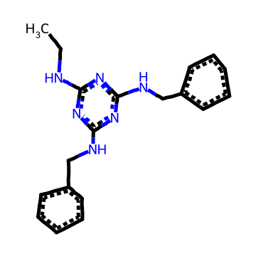 CCNc1nc(NCc2ccccc2)nc(NCc2ccccc2)n1